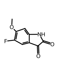 COc1cc2c(cc1F)C(=O)C(=O)N2